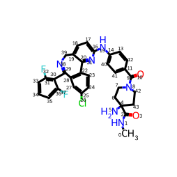 CNC(=O)C1(N)CCN(C(=O)c2ccc(Nc3ccc4c(n3)-c3ccc(Cl)cc3C(c3c(F)cccc3F)=NC4)cc2)CC1